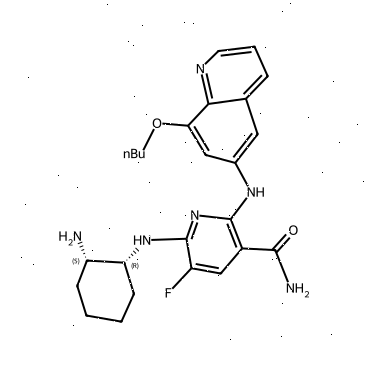 CCCCOc1cc(Nc2nc(N[C@@H]3CCCC[C@@H]3N)c(F)cc2C(N)=O)cc2cccnc12